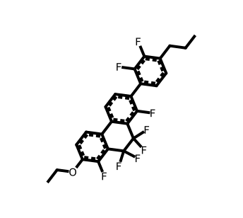 CCCc1ccc(-c2ccc3c(c2F)C(F)(F)C(F)(F)c2c-3ccc(OCC)c2F)c(F)c1F